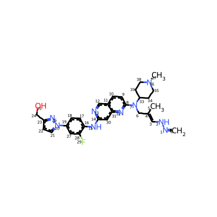 C=NN/C=C(\C)CN(c1ccc2cnc(Nc3ccc(-n4ccc(CO)n4)cc3F)cc2n1)C1CCN(C)CC1